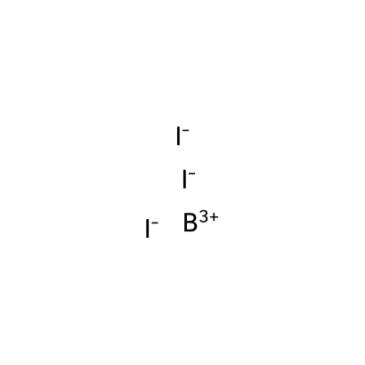 [B+3].[I-].[I-].[I-]